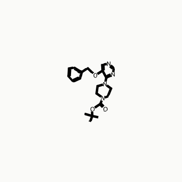 CC(C)(C)OC(=O)N1CCN(c2ncncc2OCc2ccccc2)CC1